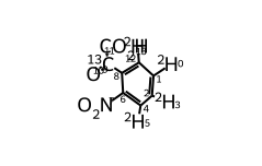 [2H]c1c([2H])c([2H])c([N+](=O)[O-])c([13C](=O)C(=O)O)c1[2H]